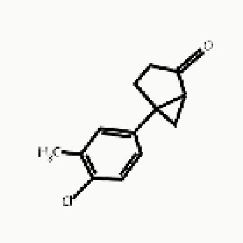 Cc1cc(C23CCC(=O)C2C3)ccc1Cl